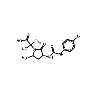 CC1C[C@H](NC(=O)Nc2ccc(Br)cc2)C(=O)N1C(C)(C)C(=O)O